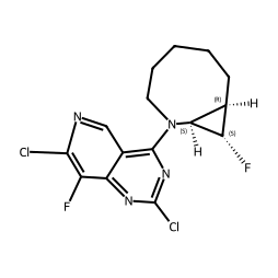 Fc1c(Cl)ncc2c(N3CCCCC[C@H]4[C@H](F)[C@H]43)nc(Cl)nc12